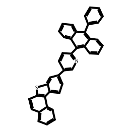 c1ccc(-c2c3ccccc3c(-c3ccc(-c4ccc5c(c4)sc4ccc6ccccc6c45)cn3)c3ccccc23)cc1